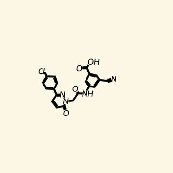 N#Cc1cc(NC(=O)Cn2nc(-c3ccc(Cl)cc3)ccc2=O)cc(C(=O)O)c1